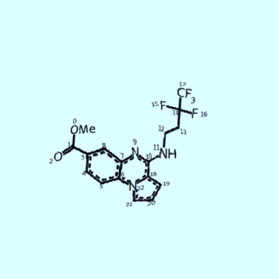 COC(=O)c1ccc2c(c1)nc(NCCC(F)(F)C(F)(F)F)c1cccn12